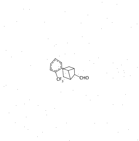 O=CC1C2CCCC1C2c1ccccc1C(F)(F)F